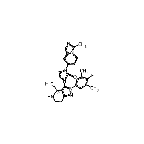 Cc1cc(-n2nc3c(c2-n2ccn(-c4ccn5c(C)ncc5c4)c2=O)[C@H](C)NCC3)cc(C)c1F